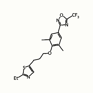 CCc1ncc(CCCOc2c(C)cc(-c3noc(C(F)(F)F)n3)cc2C)s1